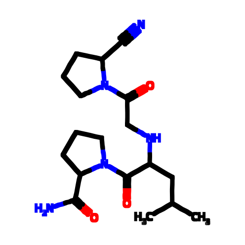 CC(C)CC(NCC(=O)N1CCCC1C#N)C(=O)N1CCCC1C(N)=O